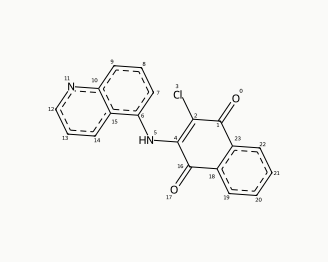 O=C1C(Cl)=C(Nc2cccc3ncccc23)C(=O)c2ccccc21